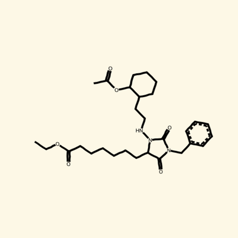 CCOC(=O)CCCCCCC1C(=O)N(Cc2ccccc2)C(=O)N1NCCC1CCCCC1OC(C)=O